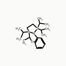 CC(C)[Si]1(C(C)C)CC[Si](C(C)C)(C(C)C)N1c1ccccc1